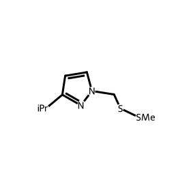 CSSCn1ccc(C(C)C)n1